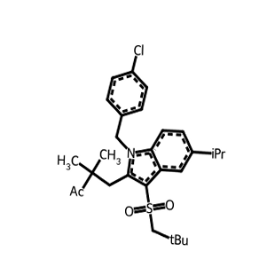 CC(=O)C(C)(C)Cc1c(S(=O)(=O)CC(C)(C)C)c2cc(C(C)C)ccc2n1Cc1ccc(Cl)cc1